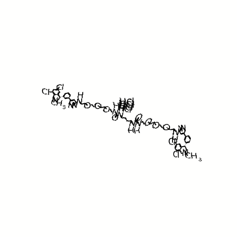 CN1Cc2c(Cl)cc(Cl)cc2[C@H](c2cccc(-c3cnnc(NCCOCCOCCOCCNC(=O)NCCCCNC(=O)NCCOCCOCCOCCNc4cc(-c5cccc([C@@H]6CN(C)Cc7c(Cl)cc(Cl)cc76)c5)cnn4)c3)c2)C1.Cl.Cl.Cl.Cl